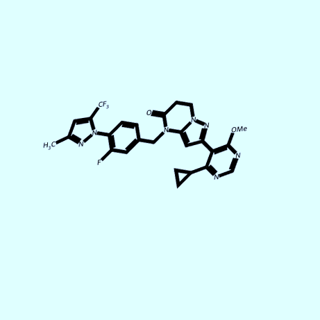 COc1ncnc(C2CC2)c1-c1cc2n(n1)CCC(=O)N2Cc1ccc(-n2nc(C)cc2C(F)(F)F)c(F)c1